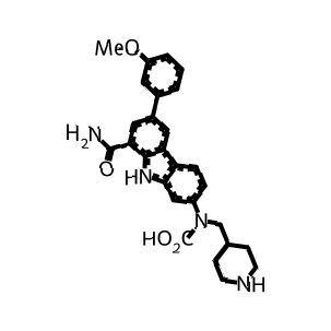 COc1cccc(-c2cc(C(N)=O)c3[nH]c4cc(N(CC5CCNCC5)C(=O)O)ccc4c3c2)c1